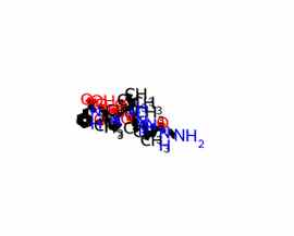 CC[C@H](C)[C@@H]([C@@H](CC(=O)N1CCC[C@H]1[C@H](OC)[C@@H](C)C(=O)N[C@@H](Cc1ccccc1)C(=O)O)OC)N(C)C(=O)[C@@H](Nc1nc(C)cc(C(=O)NCCN)n1)C(C)C